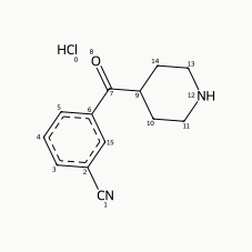 Cl.N#Cc1cccc(C(=O)C2CCNCC2)c1